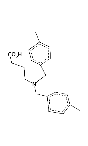 Cc1ccc(CN(CCCC(=O)O)Cc2ccc(C)cc2)cc1